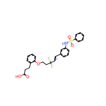 O=C(O)CCc1ccccc1OCCC(F)(F)/C=C/c1cccc(NS(=O)(=O)c2ccccc2)c1